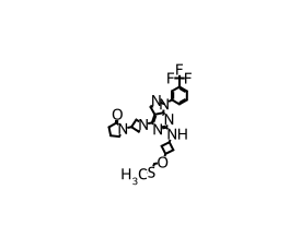 CSCOC1CC(Nc2nc(N3CC(N4CCCC4=O)C3)c3cnn(-c4cccc(C(F)(F)F)c4)c3n2)C1